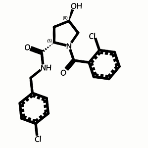 O=C(NCc1ccc(Cl)cc1)[C@@H]1C[C@@H](O)CN1C(=O)c1ccccc1Cl